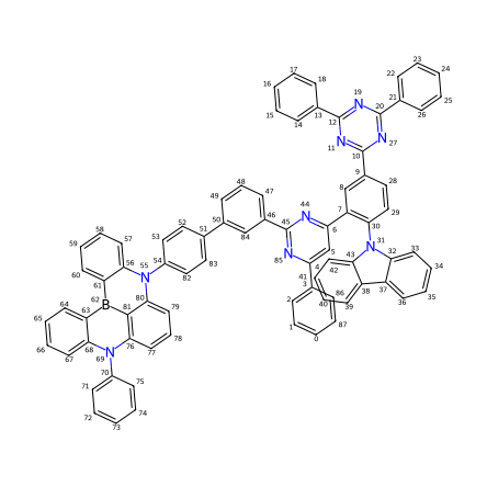 c1ccc(-c2cc(-c3cc(-c4nc(-c5ccccc5)nc(-c5ccccc5)n4)ccc3-n3c4ccccc4c4ccccc43)nc(-c3cccc(-c4ccc(N5c6ccccc6B6c7ccccc7N(c7ccccc7)c7cccc5c76)cc4)c3)n2)cc1